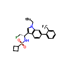 CC(C)(C)Cn1cc([C@@H](CF)NS(=O)(=O)C2CCC2)c2ccc(-c3ccccc3C(F)(F)F)cc21